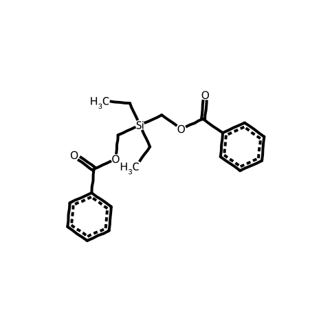 CC[Si](CC)(COC(=O)c1ccccc1)COC(=O)c1ccccc1